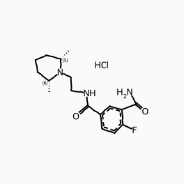 C[C@@H]1CCC[C@H](C)N1CCNC(=O)c1ccc(F)c(C(N)=O)c1.Cl